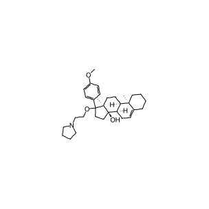 COc1ccc(C2(OCCN3CCCC3)CC[C@@]3(O)[C@@H]4CC=C5CCCC[C@]5(C)[C@@H]4CC[C@]23C)cc1